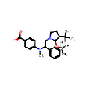 CN(c1ccc(C(=O)O)cc1)C(CN1CCC(C(C)(C)C)C1O[SiH](C)C)c1ccccc1